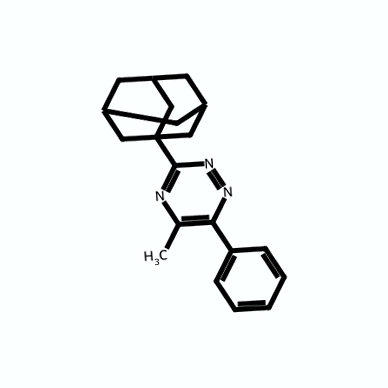 Cc1nc(C23CC4CC(CC(C4)C2)C3)nnc1-c1ccccc1